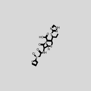 CCC(Sc1nc[nH]n1)C1=C(C(=O)O)N2C(=O)C(NC(=O)C[S+]([O-])c3cccs3)[C@@H]2SC1